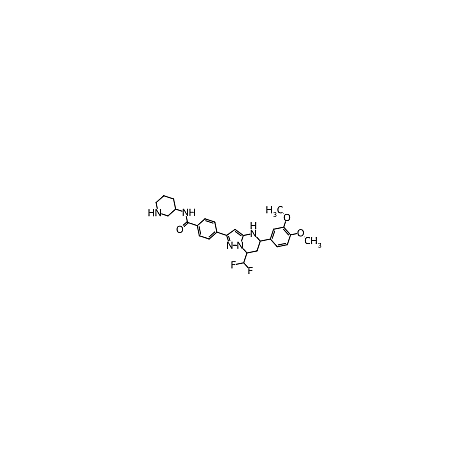 COc1ccc(C2CC(C(F)F)n3nc(-c4ccc(C(=O)NC5CCCNC5)cc4)cc3N2)cc1OC